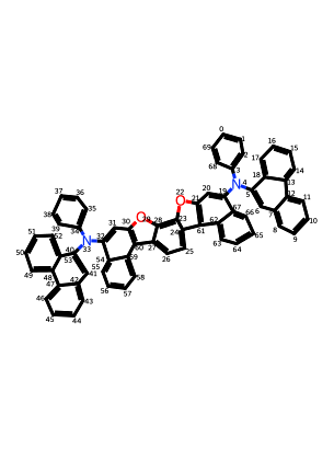 c1ccc(N(c2cc3ccccc3c3ccccc23)c2cc3oc4c(ccc5c4oc4cc(N(c6ccccc6)c6cc7ccccc7c7ccccc67)c6ccccc6c45)c3c3ccccc23)cc1